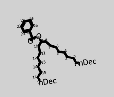 CCCCCCCCCCCCCCCCCCC(CCCCCCCCCCCCCCCCC)OC(=O)c1ccccc1